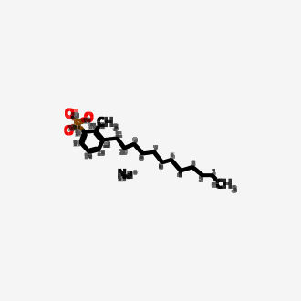 CCCCCCCCCCCCc1cccc(S(=O)(=O)[O-])c1C.[Na+]